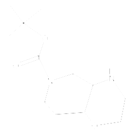 CC(C)(C)OC(=O)N1CCC2OCCNC2C1